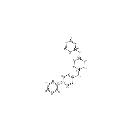 C1=CN=CN(CN2CCN(Cc3ccc(-c4ccccc4)cc3)CC2)C1